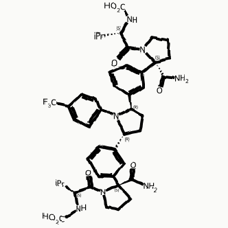 CC(C)[C@H](NC(=O)O)C(=O)N1CCC[C@@]1(C(N)=O)c1cccc([C@H]2CC[C@H](c3cccc([C@]4(C(N)=O)CCCN4C(=O)[C@@H](NC(=O)O)C(C)C)c3)N2c2ccc(C(F)(F)F)cc2)c1